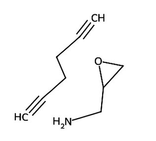 C#CCCC#C.NCC1CO1